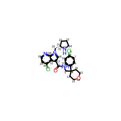 O=C(NCC1(c2ccc(Cl)cc2)CCOCC1)c1cn(C[C@@H]2CCCN2)c2nccc(Cl)c12